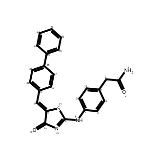 NC(=O)Cc1ccc(NC2=NC(=O)C(=Cc3ccc(-c4ccccc4)cc3)S2)cc1